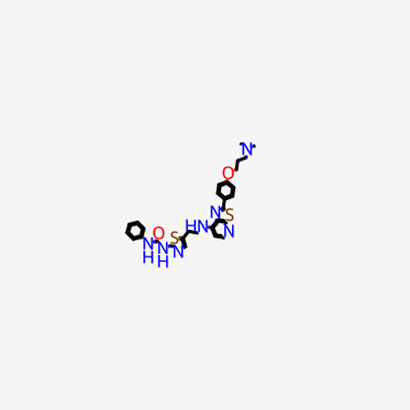 CN(C)CCCOc1ccc(-c2nc3c(NCCc4cnc(NC(=O)Nc5ccccc5)s4)ccnc3s2)cc1